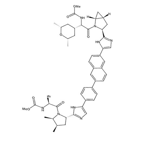 COC(=O)NC(C(=O)N1[C@@H]2C[C@@H]2C[C@H]1c1ncc(-c2ccc3cc(-c4ccc(-c5cnc([C@@H]6C[C@@H](C)[C@@H](C)N6C(=O)[C@@H](NC(=O)OC)C(C)C)[nH]5)cc4)ccc3c2)[nH]1)[C@H]1C[C@@H](C)O[C@@H](C)C1